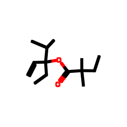 C=CC(CC)(OC(=O)C(C)(C)CC)C(C)C